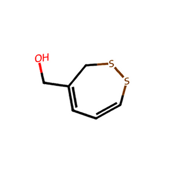 OCC1=CC=CSSC1